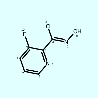 ON=C(Cl)c1ncccc1F